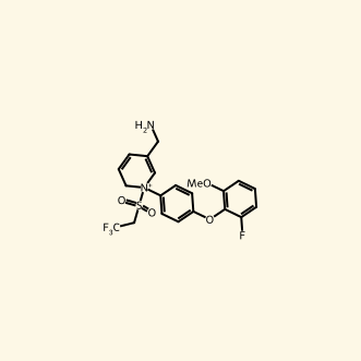 COc1cccc(F)c1Oc1ccc([N+]2(S(=O)(=O)CC(F)(F)F)C=C(CN)C=CC2)cc1